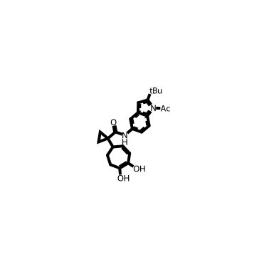 CC(=O)n1c(C(C)(C)C)cc2cc(NC(=O)C3(C4C=CC(O)=C(O)CC4)CC3)ccc21